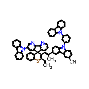 C=CC1=C(/C=C(\C)c2ccc3c(c2)c2cc(C#N)ccc2n3-c2cccc(-n3c4ccccc4c4ccccc43)c2)C2(c3ccccc3S1)c1cccnc1-c1ncc(-n3c4ccccc4c4ccccc43)cc12